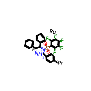 CC(C)c1ccc(CN([C@H](c2ccccc2)[C@H](N)c2ccccc2)S(=O)(=O)c2c(F)c(F)c(F)c(F)c2F)cc1.[Ru]